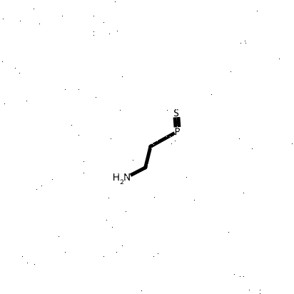 NCCP=S